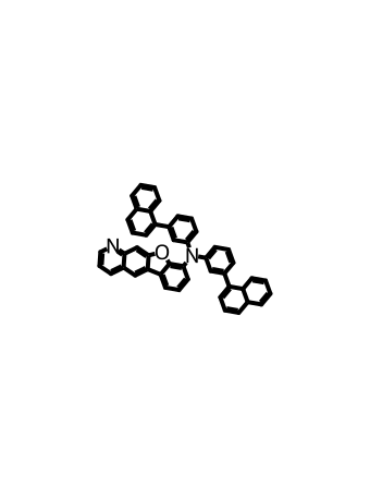 C1=CC2C=CC=C(c3cccc(N(c4cccc(-c5cccc6ccccc56)c4)c4cccc5c4oc4cc6ncccc6cc45)c3)C2C=C1